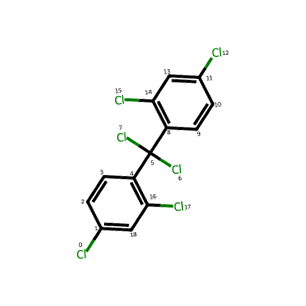 Clc1ccc(C(Cl)(Cl)c2ccc(Cl)cc2Cl)c(Cl)c1